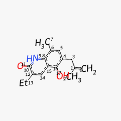 C=C(C)Cc1cc(C)c2[nH]c(=O)c(CC)cc2c1O